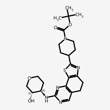 CC(C)(C)OC(=O)N1CCC(c2nc3c(s2)-c2nc(N[C@@H]4CCOC[C@H]4O)ncc2CC3)CC1